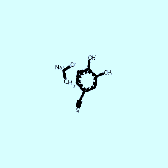 CC[O-].N#Cc1ccc(O)c(O)c1.[Na+]